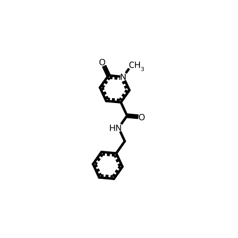 Cn1cc(C(=O)NCc2ccccc2)ccc1=O